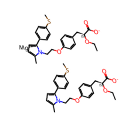 CCO[C@@H](Cc1ccc(OCCn2c(C)ccc2-c2ccc(SC)cc2)cc1)C(=O)[O-].CCO[C@@H](Cc1ccc(OCCn2c(C)ccc2-c2ccc(SC)cc2)cc1)C(=O)[O-].[Mg+2]